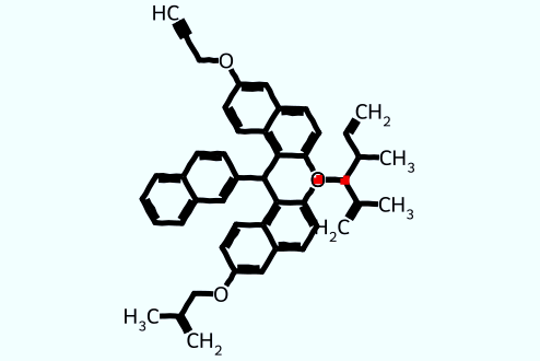 C#CCOc1ccc2c(C(c3ccc4ccccc4c3)c3c(OCC(C)C=C)ccc4cc(OCC(=C)C)ccc34)c(OCC(=C)C)ccc2c1